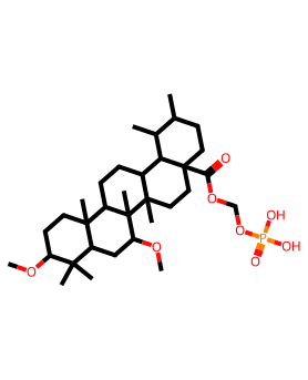 COC1CCC2(C)C(CC(OC)C3(C)C2CCC2C4C(C)C(C)CCC4(C(=O)OCOP(=O)(O)O)CCC23C)C1(C)C